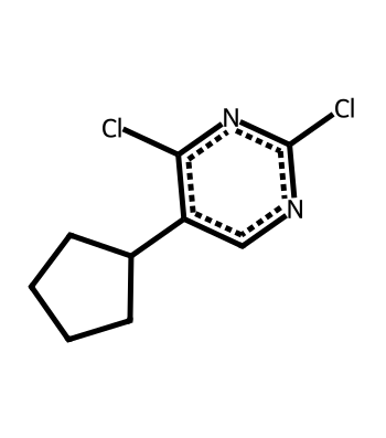 Clc1ncc(C2CCCC2)c(Cl)n1